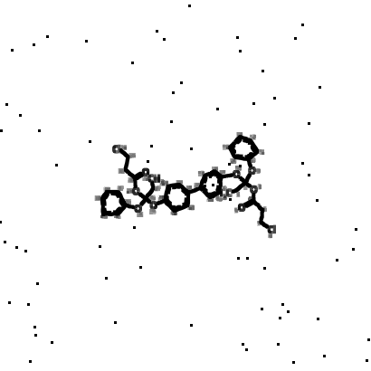 CCC(OC(=O)CCCl)(Oc1ccccc1)Oc1ccc(-c2ccc(OC(CC)(OC(=O)CCCl)Oc3ccccc3)cc2)cc1